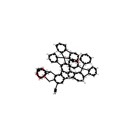 N#Cc1cc2c(c3c1C1c4ccccc4C3c3ccccc31)c1c3c(cc4c5c6c(ncc5n2c41)-c1ccccc1C6(c1ccccc1)c1ccccc1)C1(c2ccccc2-c2ccccc21)c1ccccc1-3